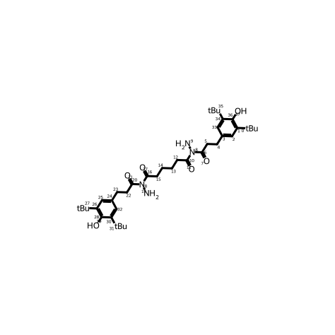 CC(C)(C)c1cc(CCC(=O)N(N)C(=O)CCCCC(=O)N(N)C(=O)CCc2cc(C(C)(C)C)c(O)c(C(C)(C)C)c2)cc(C(C)(C)C)c1O